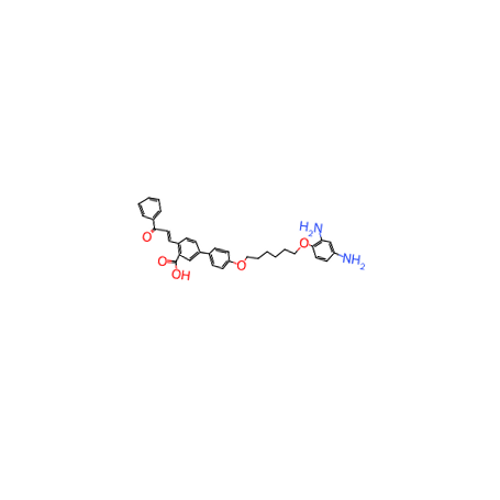 Nc1ccc(OCCCCCCOc2ccc(-c3ccc(C=CC(=O)c4ccccc4)c(C(=O)O)c3)cc2)c(N)c1